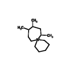 CC1CC[N+]2(CCCCC2)C(C)CC1C